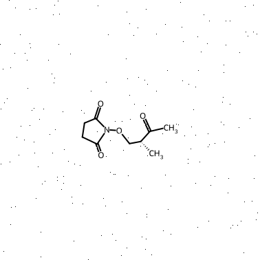 CC(=O)[C@H](C)CON1C(=O)CCC1=O